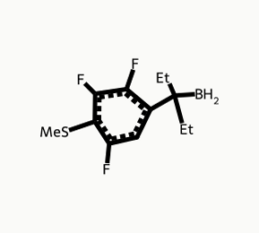 BC(CC)(CC)c1cc(F)c(SC)c(F)c1F